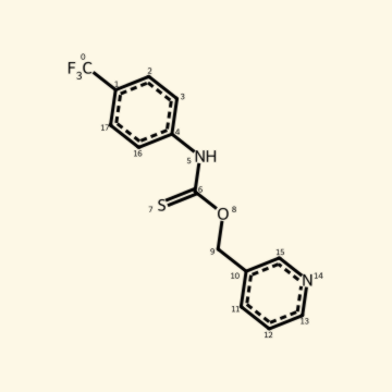 FC(F)(F)c1ccc(NC(=S)OCc2cccnc2)cc1